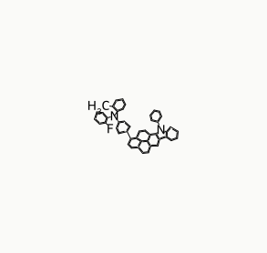 Cc1ccccc1N(c1ccc(-c2ccc3ccc4cc5c6ccccc6n(-c6ccccc6)c5c5ccc2c3c45)cc1)c1ccccc1F